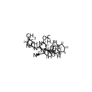 COc1cc(N[C@@H]2C[C@H]3CCC[C@@H](C2)N3S(=O)(=O)N2CC(C#N)C2)nc(Nc2ncc(C)s2)n1